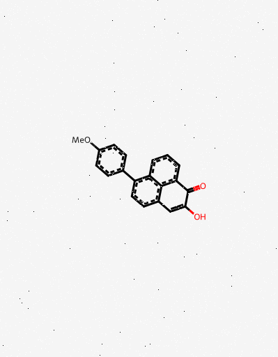 COc1ccc(-c2ccc3c4c(cccc24)C(=O)C(O)=C3)cc1